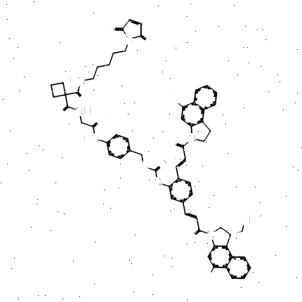 O=C(CNC(=O)C1(C(=O)NCCCCCN2C(=O)C=CC2=O)CCC1)Nc1ccc(COC(=O)Nc2cc(/C=C/C(=O)N3C[C@@H](CCl)c4c3cc(O)c3ccccc43)ccc2/C=C/C(=O)N2CCc3c2cc(O)c2ccccc32)cc1